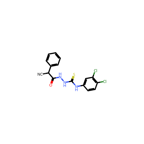 N#CC(C(=O)NNC(=S)Nc1ccc(Cl)c(Cl)c1)c1ccccc1